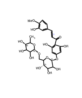 COc1ccc(/C=C/C(=O)c2c(O)cc(O[C@@H]3OC(CO[C@@H]4OC(C)[C@H](O)C(O)C4O)[C@@H](O)C(O)C3O)cc2O)cc1O